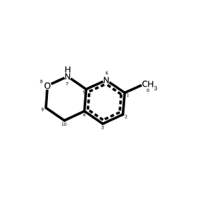 Cc1ccc2c(n1)NOCC2